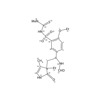 CCOc1ccc(C(CC2(CC)C(=O)NC=C2C)NC=O)cc1S(=O)(=O)NC(=S)NC